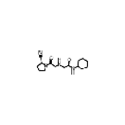 N#C[C@@H]1CCCN1C(=O)CNCC(=O)NC1CCCCC1